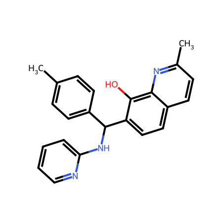 Cc1ccc(C(Nc2ccccn2)c2ccc3ccc(C)nc3c2O)cc1